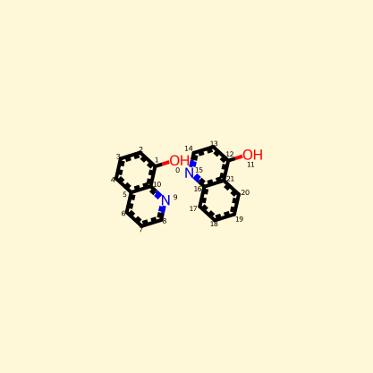 Oc1cccc2cccnc12.Oc1ccnc2ccccc12